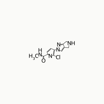 CNC(=O)c1ccc(-n2cc3c(n2)CNC3)c(Cl)n1